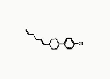 C=CCCC=CC1CCC(c2ccc(C#N)cc2)CC1